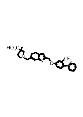 CC1(C(=O)O)CCN(CC2=Cc3sc(COc4ccc(-c5ccccc5)c(C(F)(F)F)c4)cc3CC2)C1